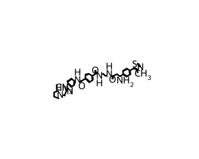 Cc1ncsc1-c1ccc([C@@H](N)CC(=O)NCCNC(=O)c2ccc(C(=O)Nc3ccc4[nH]c(CN5CCC[C@@H]5C)nc4c3)cc2)cc1